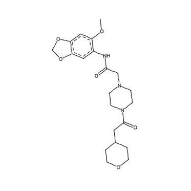 COc1cc2c(cc1NC(=O)CN1CCN(C(=O)CC3CCOCC3)CC1)OCO2